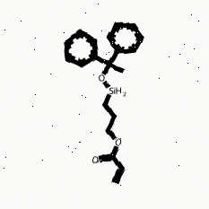 C=CC(=O)OCCC[SiH2]OC(C)(c1ccccc1)c1ccccc1